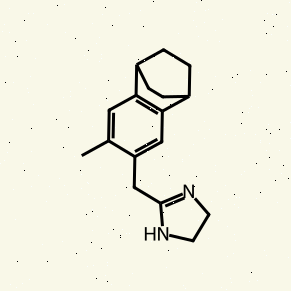 Cc1cc2c(cc1CC1=NCCN1)C1CCC2CC1